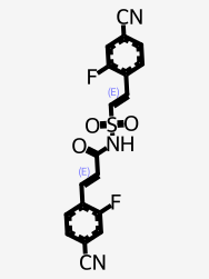 N#Cc1ccc(/C=C/C(=O)NS(=O)(=O)/C=C/c2ccc(C#N)cc2F)c(F)c1